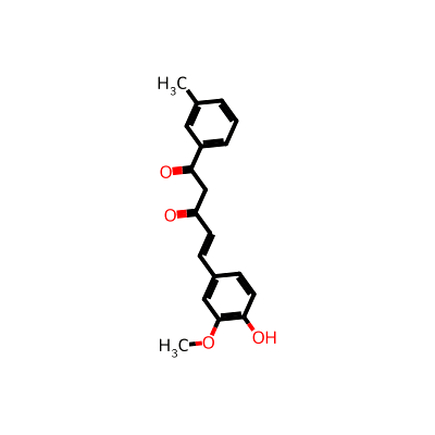 COc1cc(/C=C/C(=O)CC(=O)c2cccc(C)c2)ccc1O